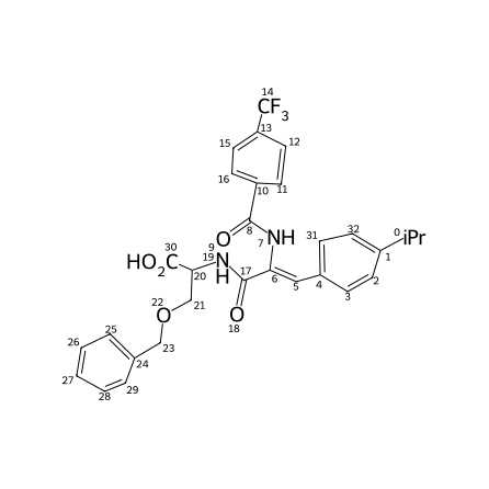 CC(C)c1ccc(C=C(NC(=O)c2ccc(C(F)(F)F)cc2)C(=O)NC(COCc2ccccc2)C(=O)O)cc1